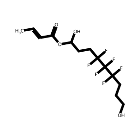 CC=CC(=O)OC(O)CCC(F)(F)C(F)(F)C(F)(F)CCCO